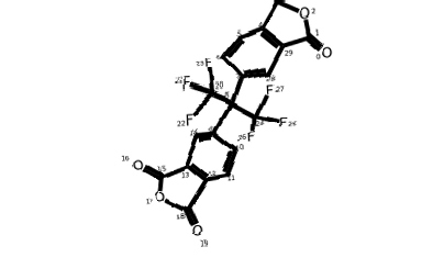 O=C1OCc2ccc(C(c3ccc4c(c3)C(=O)OC4=O)(C(F)(F)F)C(F)(F)F)cc21